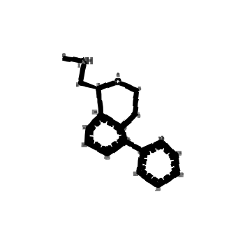 CNC[C@H]1OCCc2c(-c3ccccc3)cccc21